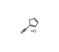 Cl.N#Cc1cccs1